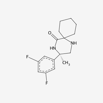 C[C@@]1(c2cc(F)cc(F)c2)CNC2(CCCCC2)C(=O)N1